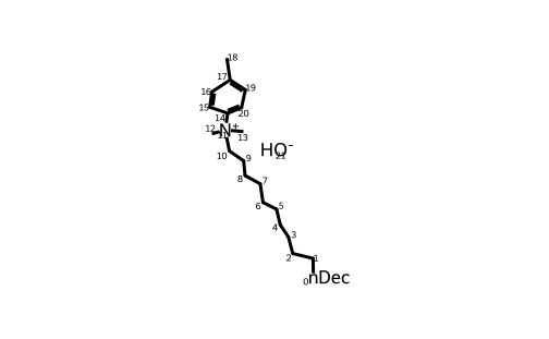 CCCCCCCCCCCCCCCCCCCC[N+](C)(C)c1ccc(C)cc1.[OH-]